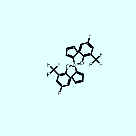 Fc1ccc([O][Zr]([O]c2ccc(F)cc2C(F)(F)F)([C]2=CC=CC2)[C]2=CC=CC2)c(C(F)(F)F)c1